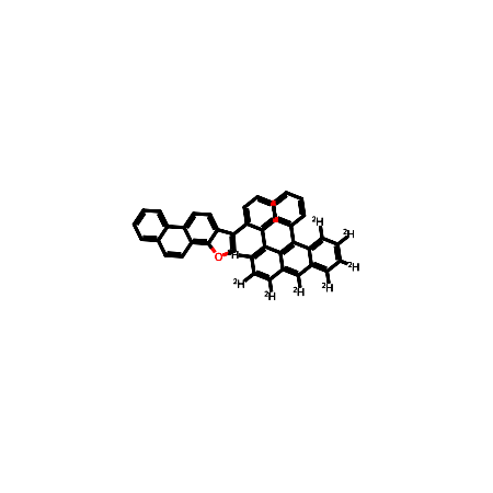 [2H]c1c([2H])c([2H])c2c(-c3ccccc3)c3c(-c4ccccc4-c4coc5c4ccc4c6ccccc6ccc45)c([2H])c([2H])c([2H])c3c([2H])c2c1[2H]